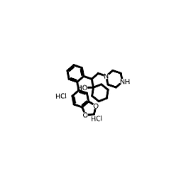 Cl.Cl.OC1(C(CN2CCNCC2)c2ccccc2-c2ccc3c(c2)OCO3)CCCCC1